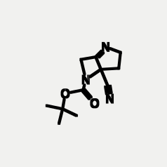 CC(C)(C)OC(=O)N1CC2=NCCC21C#N